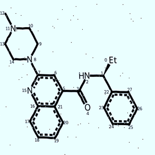 CC[C@H](NC(=O)c1cc(N2CCN(C)CC2)nc2ccccc12)c1ccccc1